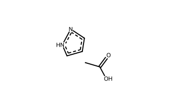 CC(=O)O.c1cn[nH]c1